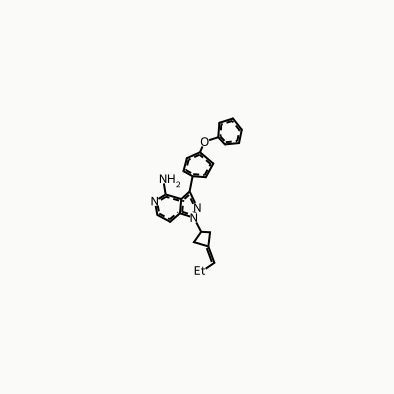 CCC=C1CC(n2nc(-c3ccc(Oc4ccccc4)cc3)c3c(N)nccc32)C1